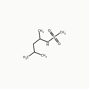 CC(C)CC(C)NS(C)(=O)=O